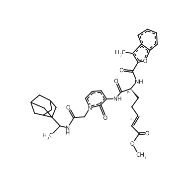 COC(=O)/C=C/CC[C@H](NC(=O)c1oc2ccccc2c1C)C(=O)Nc1cccn(CC(=O)NC(C)C23CC4CC(CC2C4)C3)c1=O